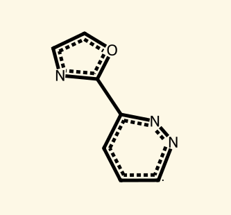 [c]1ccc(-c2ncco2)nn1